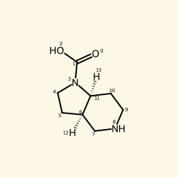 O=C(O)N1CC[C@@H]2CNCC[C@@H]21